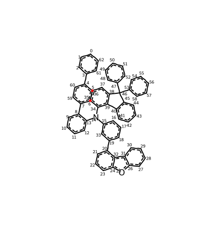 c1ccc(-c2ccc(-c3ccccc3N(c3cccc(-c4cccc5oc6ccccc6c45)c3)c3cccc4c3-c3ccccc3C4(c3ccccc3)c3ccccc3)cc2)cc1